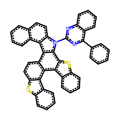 c1ccc(-c2nc(-n3c4ccc5ccccc5c4c4c5ccc6sc7ccccc7c6c5c5c6ccccc6sc5c43)nc3ccccc23)cc1